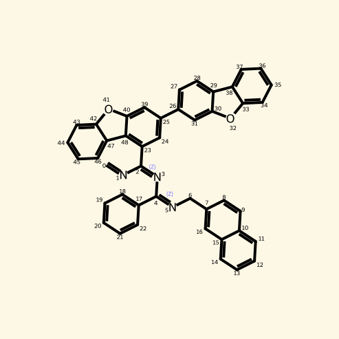 C=N/C(=N\C(=N/Cc1ccc2ccccc2c1)c1ccccc1)c1cc(-c2ccc3c(c2)oc2ccccc23)cc2oc3ccccc3c12